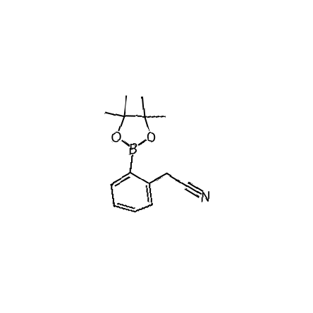 CC1(C)OB(c2ccccc2CC#N)OC1(C)C